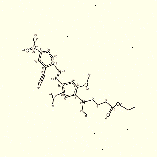 CCOC(=O)CCCN(CC)c1cc(OC)c(N=Nc2ccc([N+](=O)[O-])cc2C#N)cc1OC